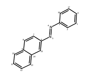 c1ccc(/N=N/c2ccc3ccccc3c2)cc1